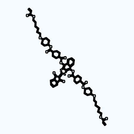 C=CC(=O)OCCCCCCOC1CCC(OC(=O)C2CCC(C(=O)Oc3c4c(c(OC(=O)C5CCC(C(=O)OC6CCC(OCCCCCCOC(=O)C=C)CC6)CC5)c5ccccc35)SC(=C3C(=O)c5ccccc5C3=O)S4)CC2)CC1